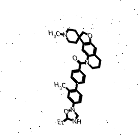 CCC1NCN(c2ccc(-c3ccc(C(=O)N4CCCc5cc6c(cc54)C4(CCN(C)CC4)CO6)cc3)c(C)c2)O1